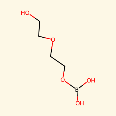 OCCOCCOB(O)O